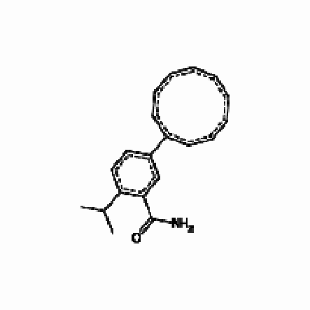 CC(C)c1ccc(-c2ccccccccc2)cc1C(N)=O